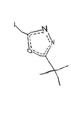 CC(C)(C)c1nnc(I)o1